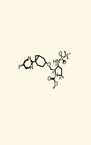 COC(=O)N1[C@H](C)C[C@H](NS(=O)(=O)[N+](C)(C)C)[C@@H]1COC1CCC2(c3ncc(F)cn3)CC2C1